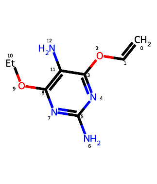 C=COc1nc(N)nc(OCC)c1N